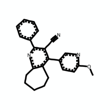 COc1ccc(-c2c(C#N)c(-c3ccccc3)nc3c2CCCCC3)cn1